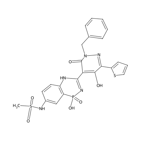 CS(=O)(=O)Nc1ccc2c(c1)P(=O)(O)N=C(c1c(O)c(-c3cccs3)nn(Cc3ccccc3)c1=O)N2